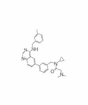 Cc1cccc(CNc2ncnc3ccc(-c4cccc(CN(C(=O)CN(C)C)C5CC5)c4)cc23)c1